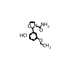 CCOc1cccc(C2OC=CN2C(N)=O)c1.Cl